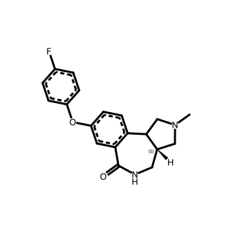 CN1CC2c3ccc(Oc4ccc(F)cc4)cc3C(=O)NC[C@H]2C1